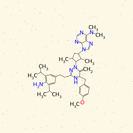 C=C1C(Cc2ccc(OC)cc2)NC(CCc2cc(C(C)C)c(N)c(C(C)C)c2)=NN1C1C(C)CC(n2cnc3c(N(C)C)ncnc32)C1C